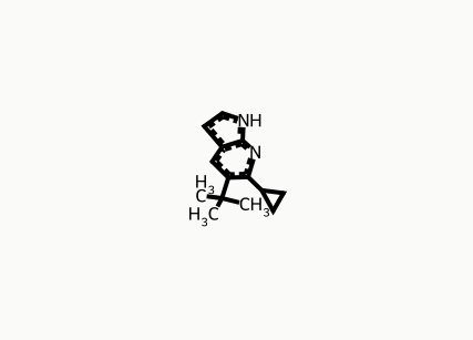 CC(C)(C)c1cc2cc[nH]c2nc1C1CC1